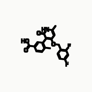 Cc1cc(OCc2ccc(F)cc2F)c(-c2cc(C(=O)O)ccc2C)c(=O)[nH]1